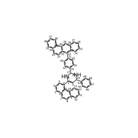 C1=C(c2cccc3ccc4ccccc4c23)NC(c2ccc(-c3c4ccccc4cc4c3ccc3ccccc34)cc2)NC1c1ccccc1